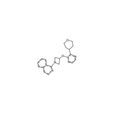 c1ccc2c(N3CC(Oc4nccnc4C4CCOCC4)C3)nccc2c1